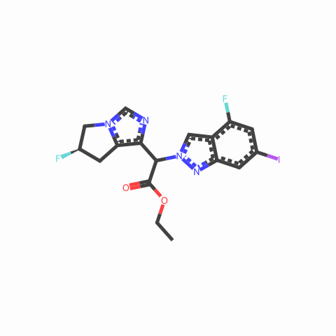 CCOC(=O)C(c1ncn2c1C[C@@H](F)C2)n1cc2c(F)cc(I)cc2n1